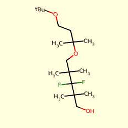 CC(C)(C)OCCC(C)(C)OCC(C)(C)C(F)(F)C(C)(C)CO